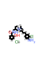 CCC(CNC(=O)c1ccccc1O)C[N+](C)(CCCCc1ccc(N)c(Cl)c1)C(C)C.[Cl-]